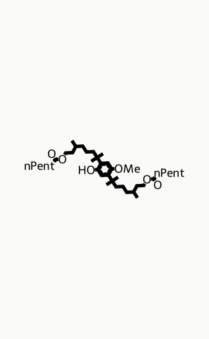 CCCCCC(=O)OCCC(C)CCCC(C)(C)c1cc(OC)c(C(C)(C)CCCC(C)CCOC(=O)CCCCC)cc1O